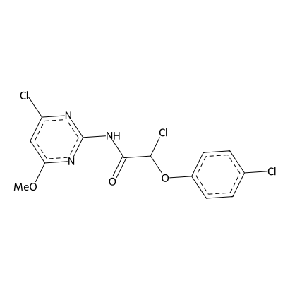 COc1cc(Cl)nc(NC(=O)C(Cl)Oc2ccc(Cl)cc2)n1